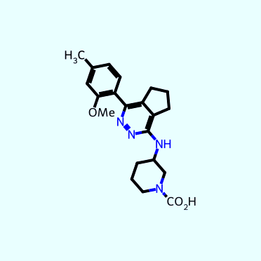 COc1cc(C)ccc1-c1nnc(NC2CCCN(C(=O)O)C2)c2c1CCC2